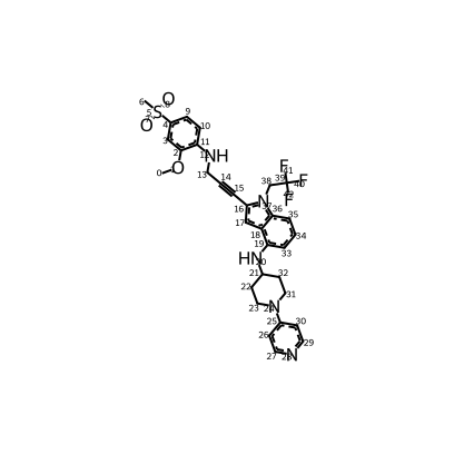 COc1cc(S(C)(=O)=O)ccc1NCC#Cc1cc2c(NC3CCN(c4ccncc4)CC3)cccc2n1CC(F)(F)F